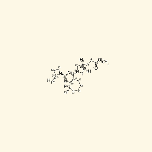 COC(=O)CC1[C@H]2CN(c3nc(N4CC[C@@H]4C)nc4c3CCCCC4(F)F)C[C@@H]12